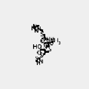 CO[C@]1(NC(=O)CSCn2cnnn2)C(=O)N2C(C(=O)O)=C(CSc3nncs3)CSC21